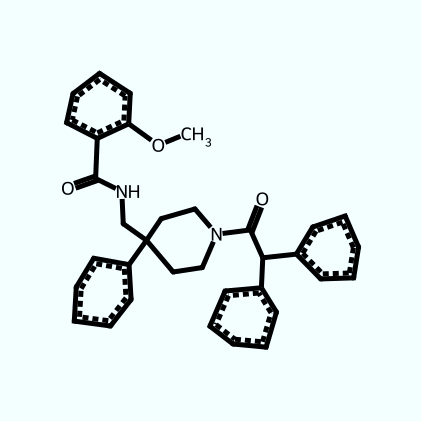 COc1ccccc1C(=O)NCC1(c2ccccc2)CCN(C(=O)C(c2ccccc2)c2ccccc2)CC1